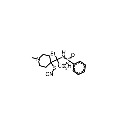 CCC(NS(=O)(=O)c1ccccc1)(C(=O)O)C1(SN=O)CCN(C)CC1